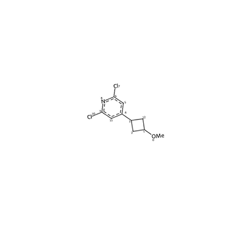 COC1CC(c2cc(Cl)nc(Cl)c2)C1